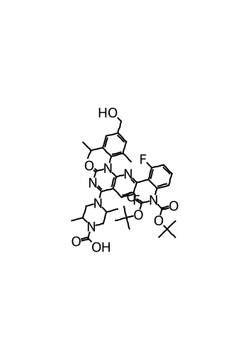 Cc1cc(CO)cc(C(C)C)c1-n1c(=O)nc(N2CC(C)N(C(=O)O)CC2C)c2cc(F)c(-c3c(F)cccc3N(C(=O)OC(C)(C)C)C(=O)OC(C)(C)C)nc21